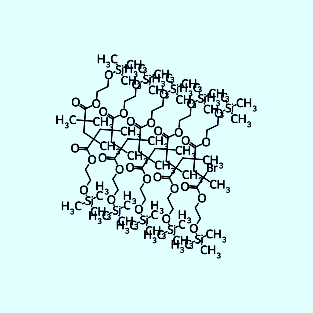 CC(C)(CC(C)(CC(C)(CC(C)(CC(C)(CC(C)(CC(C)(CC(C)(CC(C)(CC(C)(Br)C(=O)OCCO[Si](C)(C)C)C(=O)OCCO[Si](C)(C)C)C(=O)OCCO[Si](C)(C)C)C(=O)OCCO[Si](C)(C)C)C(=O)OCCO[Si](C)(C)C)C(=O)OCCO[Si](C)(C)C)C(=O)OCCO[Si](C)(C)C)C(=O)OCCO[Si](C)(C)C)C(=O)OCCO[Si](C)(C)C)C(=O)OCCO[Si](C)(C)C